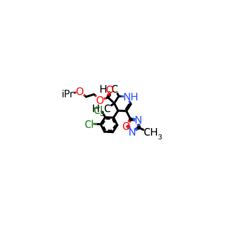 Cc1noc(C2=CNC(C)C(C)(C(=O)OCCOC(C)C)C2c2cccc(Cl)c2Cl)n1